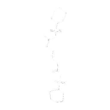 O=C(CCCCC(=O)OS(=O)(=O)C1CCCCC1)OS(=O)(=O)C1CCCCC1